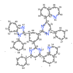 c1ccc(-c2cc(-c3cccc4cccnc34)nc(-c3cc(-c4nc(-c5ccccc5)cc(-c5cccc6cccnc56)n4)cc(-c4nc5ccccc5n4-c4ccccc4)c3)n2)cc1